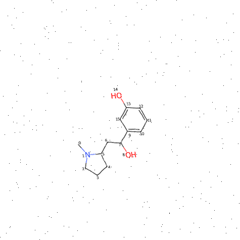 CN1CCCC1CC(O)c1cccc(O)c1